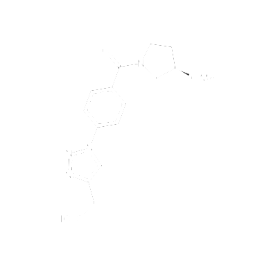 CO[C@@H]1CCN(C(=O)c2ccc(-n3cc(CC(=O)O)nn3)cc2)C1